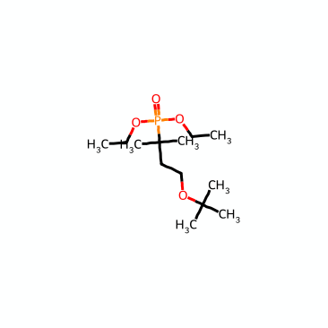 CCOP(=O)(OCC)C(C)(C)CCOC(C)(C)C